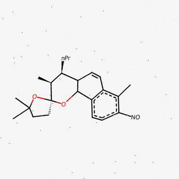 CCC[C@H]1C2C=Cc3c(ccc(N=O)c3C)C2O[C@]2(CCC(C)(C)O2)[C@H]1C